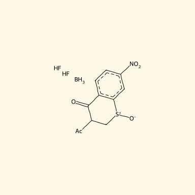 B.CC(=O)C1C[S+]([O-])c2cc([N+](=O)[O-])ccc2C1=O.F.F